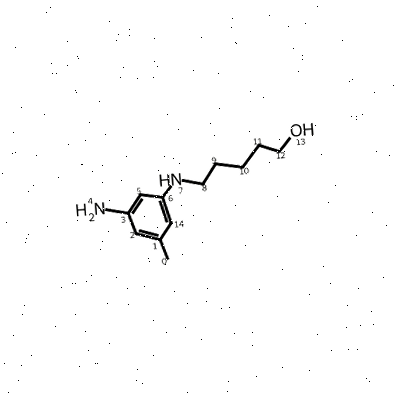 Cc1cc(N)cc(NCCCCCO)c1